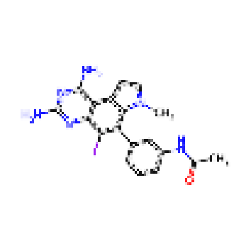 CC(=O)Nc1cccc(-c2c(I)c3nc(N)nc(N)c3c3ccn(C)c23)c1